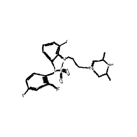 CC1CN(CCN2c3c(F)cccc3N(c3ccc(F)cc3F)S2(=O)=O)CC(C)N1